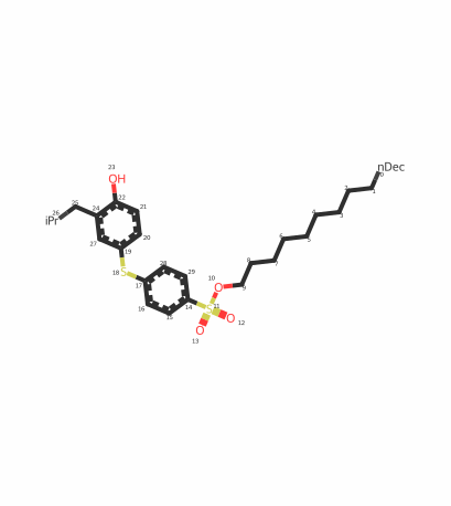 CCCCCCCCCCCCCCCCCCCOS(=O)(=O)c1ccc(Sc2ccc(O)c(CC(C)C)c2)cc1